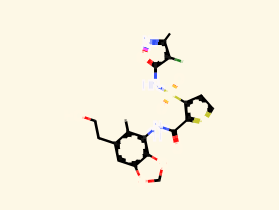 Cc1noc(NS(=O)(=O)c2ccsc2C(=O)Nc2c(C)c(CCO)cc3c2OCO3)c1Cl